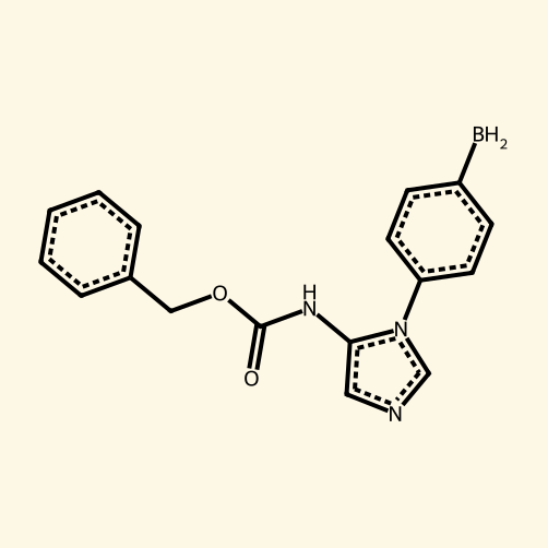 Bc1ccc(-n2cncc2NC(=O)OCc2ccccc2)cc1